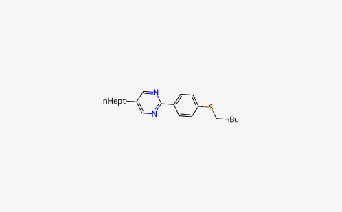 CCCCCCCc1cnc(-c2ccc(SCC(C)CC)cc2)nc1